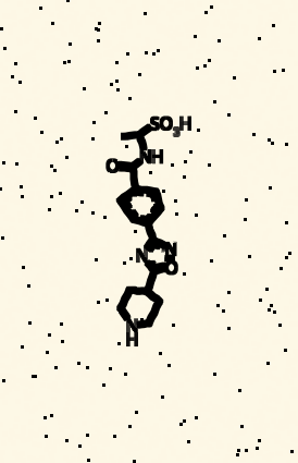 CC(NC(=O)c1ccc(-c2noc(C3CCNCC3)n2)cc1)S(=O)(=O)O